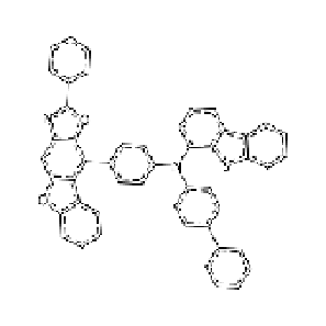 c1ccc(-c2ccc(N(c3ccc(-c4c5oc(-c6ccccc6)nc5cc5oc6ccccc6c45)cc3)c3cccc4c3sc3ccccc34)cc2)cc1